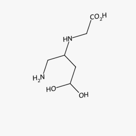 NCC(CC(O)O)NCC(=O)O